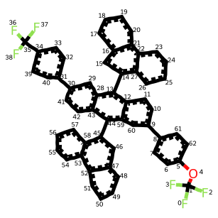 FC(F)(F)Oc1ccc(-c2ccc3c(-c4cc5ccccc5c5ccccc45)c4cc(-c5ccc(C(F)(F)F)cc5)ccc4c(-c4cc5ccccc5c5ccccc45)c3c2)cc1